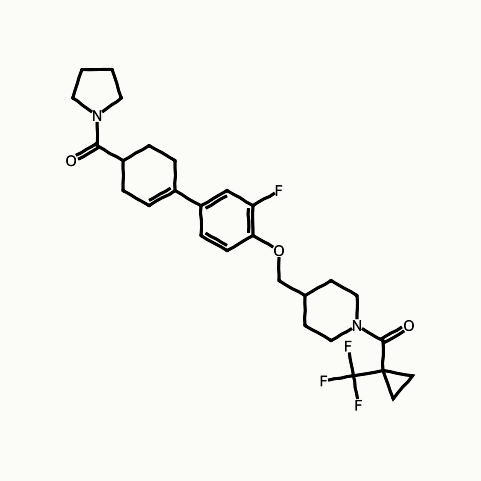 O=C(C1CC=C(c2ccc(OCC3CCN(C(=O)C4(C(F)(F)F)CC4)CC3)c(F)c2)CC1)N1CCCC1